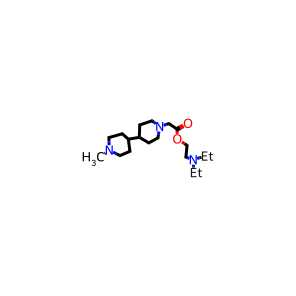 CCN(CC)CCOC(=O)CN1CCC(C2CCN(C)CC2)CC1